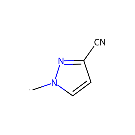 [CH2]n1ccc(C#N)n1